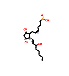 CCCCCC(O)/C=C/[C@@H]1C(C/C=C\CCC[PH](=O)O)[C@@H](O)C[C@H]1O